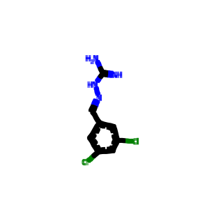 N=C(N)NN=Cc1cc(Cl)cc(Cl)c1